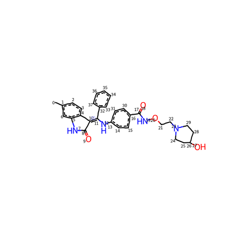 Cc1ccc2c(c1)NC(=O)/C2=C(\Nc1ccc(C(=O)NOCCN2CCC(O)CC2)cc1)c1ccccc1